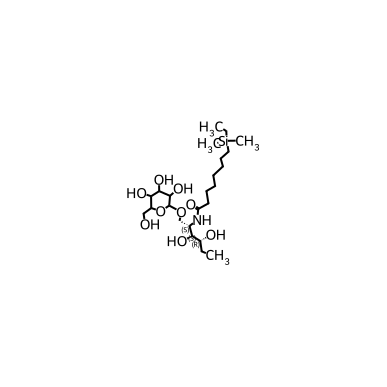 CC[C@@H](O)[C@@H](O)[C@H](COC1OC(CO)C(O)C(O)C1O)NC(=O)CCCCCCC[Si](C)(C)CC